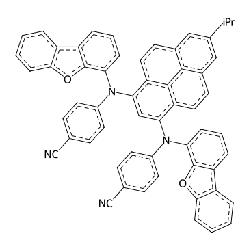 CC(C)c1cc2ccc3c(N(c4ccc(C#N)cc4)c4cccc5c4oc4ccccc45)cc(N(c4ccc(C#N)cc4)c4cccc5c4oc4ccccc45)c4ccc(c1)c2c34